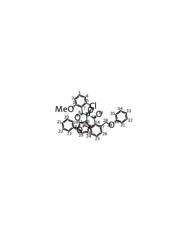 COc1cccc(Cl)c1C(=O)P(=O)(C(=O)c1c(COc2ccccc2)cccc1COc1ccccc1)c1ccccc1